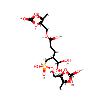 Cc1oc(=O)oc1COC(=O)CCC(CP(=O)(O)OCc1oc(=O)oc1C)C(O)O